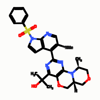 CNc1cnc2c(ccn2S(=O)(=O)c2ccccc2)c1-c1nc2c(c(C(C)(C)O)n1)OC[C@@H]1COC[C@@H](C)N21